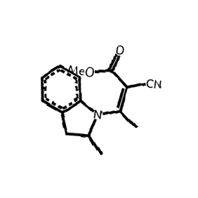 COC(=O)/C(C#N)=C(/C)N1c2ccccc2CC1C